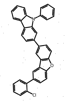 Clc1ccccc1-c1ccc2oc3ccc(-c4ccc5c6ccccc6n(-c6ccccc6)c5c4)cc3c2c1